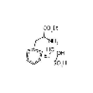 CCO.CCOC(=O)C(N)Cc1ccccc1.O=S(=O)(O)O